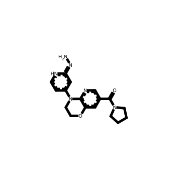 N/N=c1/cc(N2CCOc3cc(C(=O)N4CCCC4)cnc32)cc[nH]1